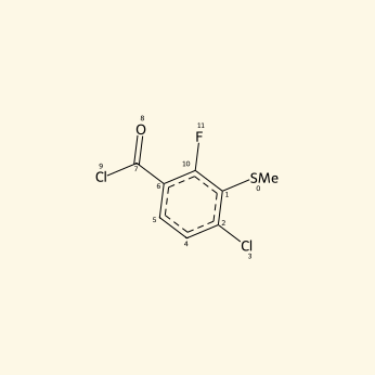 CSc1c(Cl)ccc(C(=O)Cl)c1F